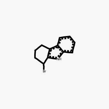 BrC1C[C]Cc2c1[nH]c1ccccc21